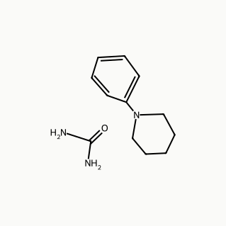 NC(N)=O.c1ccc(N2CCCCC2)cc1